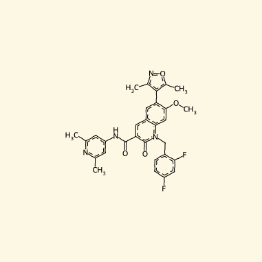 COc1cc2c(cc1-c1c(C)noc1C)cc(C(=O)Nc1cc(C)nc(C)c1)c(=O)n2Cc1ccc(F)cc1F